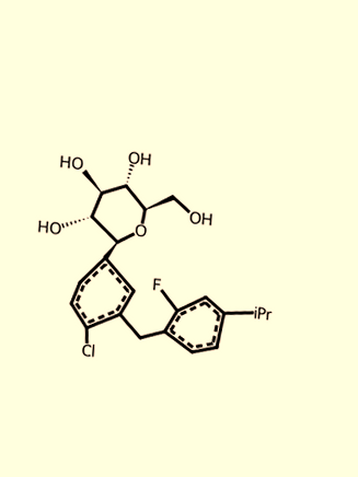 CC(C)c1ccc(Cc2cc([C@@H]3O[C@H](CO)[C@@H](O)[C@H](O)[C@H]3O)ccc2Cl)c(F)c1